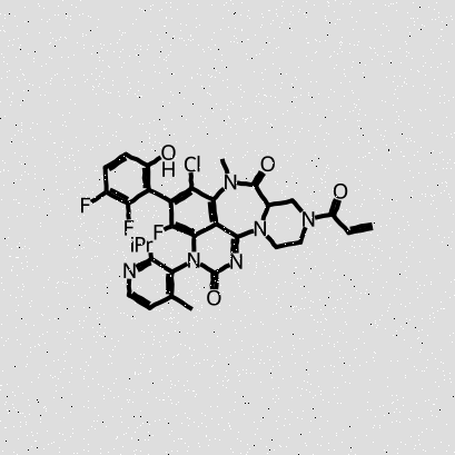 C=CC(=O)N1CCN2c3nc(=O)n(-c4c(C)ccnc4C(C)C)c4c(F)c(-c5c(O)ccc(F)c5F)c(Cl)c(c34)N(C)C(=O)C2C1